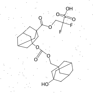 O=C(OCC12CC3CC(CC(O)(C3)C1)C2)OC12CC3CC(C1)CC(C(=O)OCC(F)(F)S(=O)(=O)O)(C3)C2